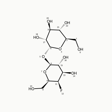 OC[C@H]1O[C@H](O[C@@H]2O[C@H](CO)[C@H](F)[C@H](O)[C@H]2O)[C@H](O)[C@@H](O)[C@@H]1O